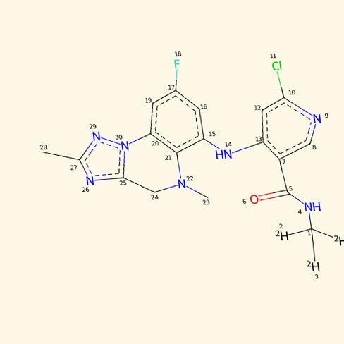 [2H]C([2H])([2H])NC(=O)c1cnc(Cl)cc1Nc1cc(F)cc2c1N(C)Cc1nc(C)nn1-2